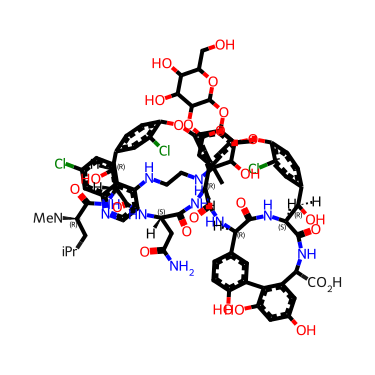 CN[C@H](CC(C)C)C(=O)N[C@H]1C(=O)N[C@@H](CC(N)=O)C(=O)N[C@H]2C(=O)N[C@H]3C(=O)N[C@H](C(=O)NC(C(=O)O)c4cc(O)cc(O)c4-c4cc3ccc4O)[C@H](O)c3ccc(c(Cl)c3)Oc3cc2cc(c3OC2OC(CO)C(O)C(O)C2OC2CC(C)(NCCNc3ccnc4cc(Cl)ccc34)C(O)C(C)O2)Oc2ccc(cc2Cl)[C@H]1O